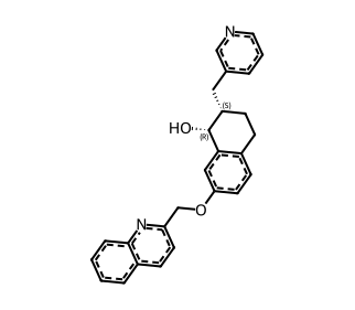 O[C@H]1c2cc(OCc3ccc4ccccc4n3)ccc2CC[C@H]1Cc1cccnc1